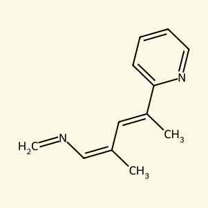 C=N/C=C(C)\C=C(/C)c1ccccn1